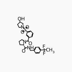 CC(F)(F)c1ccc(CNC(=O)[C@H]2CCCN2C(=O)c2cccc(S(=O)(=O)N3CCC(O)C3)c2)cc1